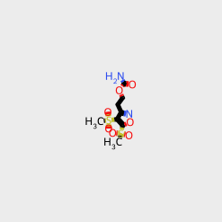 CS(=O)(=O)c1onc(CCOC(N)=O)c1S(C)(=O)=O